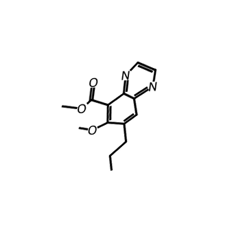 CCCc1cc2nccnc2c(C(=O)OC)c1OC